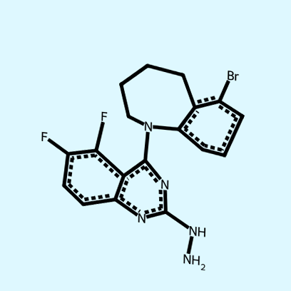 NNc1nc(N2CCCCc3c(Br)cccc32)c2c(F)c(F)ccc2n1